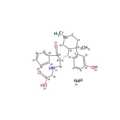 CN1CCC(C)(c2cccc(O)c2)C(C[C@H](CNCC(=O)O)C(=O)c2ccccc2)C1.[NaH]